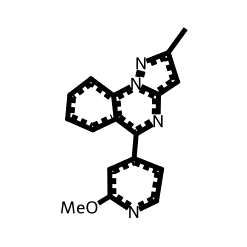 COc1cc(-c2nc3cc(C)nn3c3ccccc23)ccn1